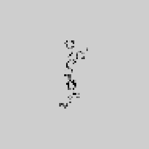 CCOC(=O)c1cnc(N2CCN(CC(/C=C/c3ccccc3)Oc3ccc(F)cc3)CC2)nc1